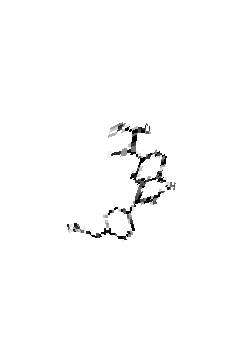 CCC(=O)Nc1ccc2[nH]cc(C3CCN(CC(C)(C)C)CC3)c2c1